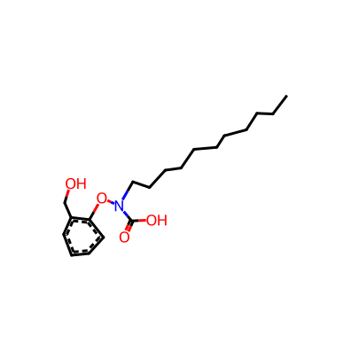 CCCCCCCCCCCN(Oc1ccccc1CO)C(=O)O